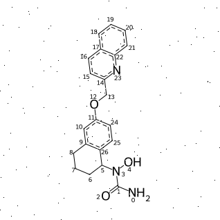 NC(=O)N(O)C1CCCc2cc(OCc3ccc4ccccc4n3)ccc21